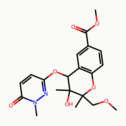 COCC1(C)Oc2ccc(C(=O)OC)cc2C(Oc2ccc(=O)n(C)n2)C1(C)O